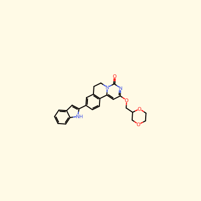 O=c1nc(OCC2COCCO2)cc2n1CCc1cc(-c3cc4ccccc4[nH]3)ccc1-2